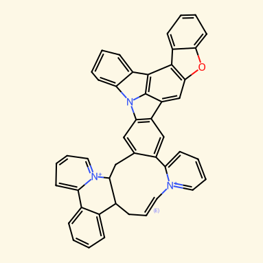 C1=C/[n+]2ccccc2-c2cc3c4cc5oc6ccccc6c5c5c6ccccc6n(c3cc2CC2C(C/1)c1ccccc1-c1cccc[n+]12)c45